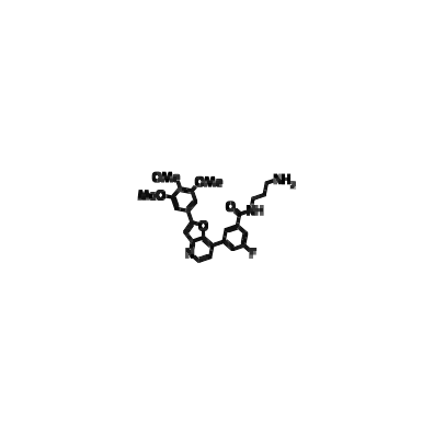 COc1cc(-c2cc3nccc(-c4cc(F)cc(C(=O)NCCCN)c4)c3o2)cc(OC)c1OC